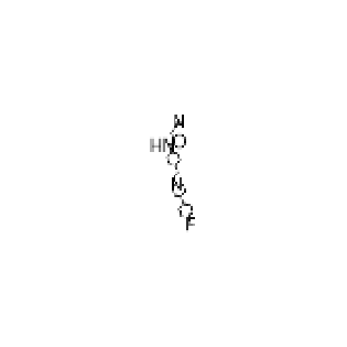 N#CCC(=O)NC1CCC(CCN2CC=C(c3ccc(F)cc3)CC2)CC1